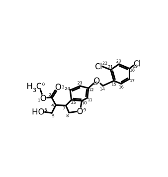 COC(=O)C(CO)C1COc2cc(OCc3ccc(Cl)cc3Cl)ccc21